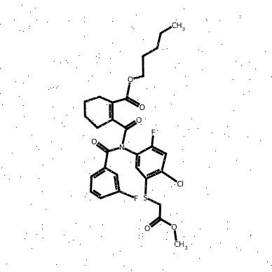 CCCCCOC(=O)C1=C(C(=O)N(C(=O)c2cccc(F)c2)c2cc(SCC(=O)OC)c(Cl)cc2F)CCCC1